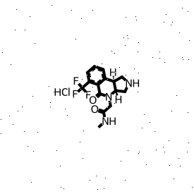 CNC(=O)CN1C(=O)c2c(cccc2C(F)(F)F)[C@H]2CNC[C@@H]21.Cl